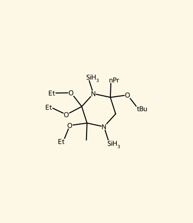 CCCC1(OC(C)(C)C)CN([SiH3])C(C)(OCC)C(OCC)(OCC)N1[SiH3]